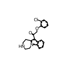 O=C(COc1ccccc1Cl)c1c2n(c3ccccc13)CCNCC2